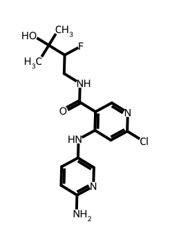 CC(C)(O)C(F)CNC(=O)c1cnc(Cl)cc1Nc1ccc(N)nc1